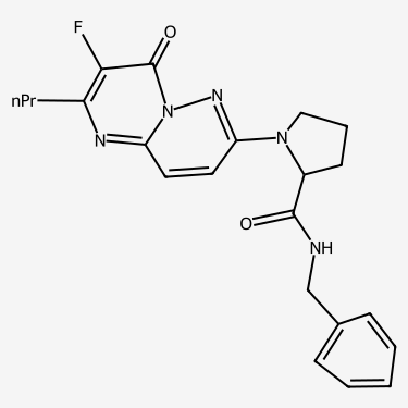 CCCc1nc2ccc(N3CCCC3C(=O)NCc3ccccc3)nn2c(=O)c1F